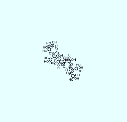 O=C(OC1[C@H](OC(=O)c2cc(O)c(O)c(O)c2Oc2cc3c(c(O)c2O)-c2c(cc(O)c(O)c2O)C(=O)O[C@@H]2C(COC3=O)OC(O)[C@@H](OC(=O)c3cc(O)c(O)c(O)c3)C2OC(=O)c2cc(O)c(O)c(O)c2)C(O)OC2COC(=O)c3cc(O)c(O)c(O)c3-c3c(cc(O)c(O)c3O)C(=O)O[C@H]21)c1cc(O)c(O)c(O)c1